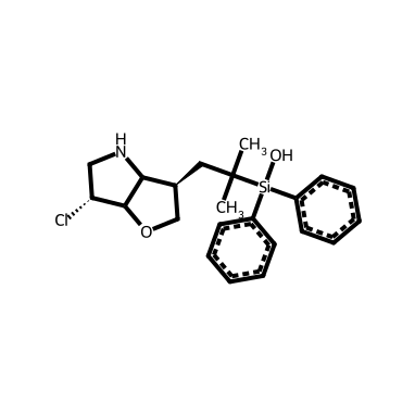 CC(C)(C[C@H]1COC2C1NC[C@H]2Cl)[Si](O)(c1ccccc1)c1ccccc1